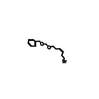 BrCC/C=C\CCOCOCc1ccccc1